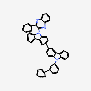 c1ccc(-c2cccc(-n3c4ccccc4c4cc(-c5ccc6c(c5)c5ccccc5n6-c5nc6ccccc6nc5-c5ccccc5)ccc43)c2)cc1